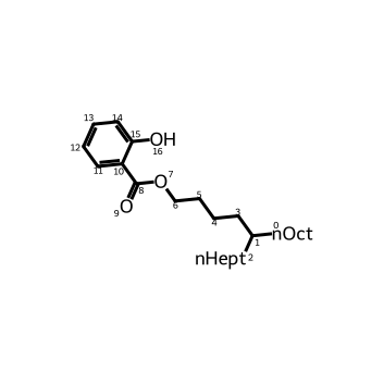 CCCCCCCCC(CCCCCCC)CCCCOC(=O)c1ccccc1O